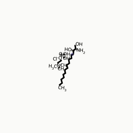 CCCCCCCCCCCCC/C=C/[C@@H](O)[C@@H](N)CO.C[N+](C)(C)CCOP(=O)(O)O.[Cl-]